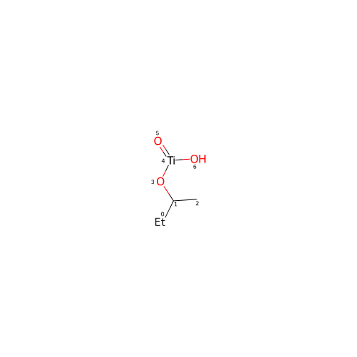 CCC(C)[O][Ti](=[O])[OH]